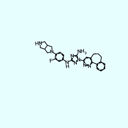 Nc1nc(Nc2ccc(N3CC4CNCC4C3)c(F)c2)nn1-c1cc2c(nn1)-c1ccccc1CCC2